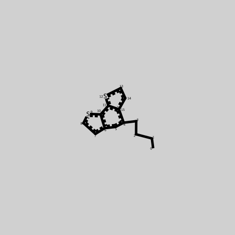 CCCCc1cc2ccsc2c2sccc12